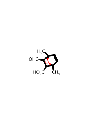 CC12C=CC(C)(O1)C(C(=O)O)C2C=O